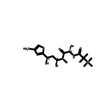 CCC(C)[C@H](NC(=O)C(C)(C)[N+](C)(C)C)C(=O)N(C)[C@H](C[C@@H](O)c1nc(C(=O)O)cs1)C(C)C